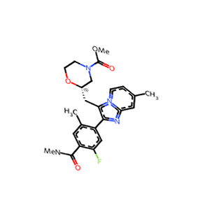 CNC(=O)c1cc(C)c(-c2nc3cc(C)ccn3c2C[C@H]2CN(C(=O)OC)CCO2)cc1F